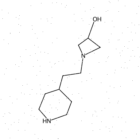 OC1CN(CCC2CCNCC2)C1